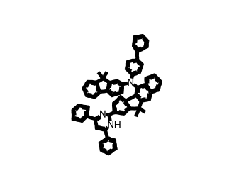 CC1(C)c2ccccc2-c2ccc(N(c3ccc(-c4ccccc4)cc3)c3c4c(cc5ccccc35)C(C)(C)c3cc(C5N=C(c6ccccc6)C=C(c6ccccc6)N5)ccc3-4)cc21